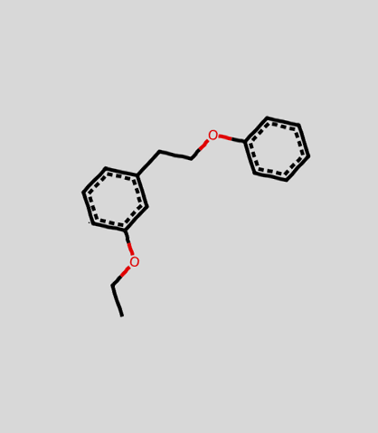 CCOc1[c]ccc(CCOc2ccccc2)c1